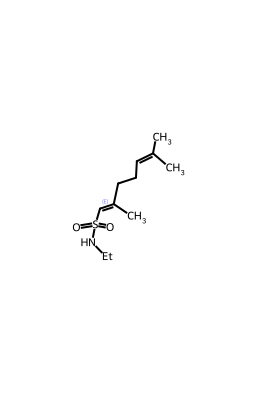 CCNS(=O)(=O)/C=C(\C)CCC=C(C)C